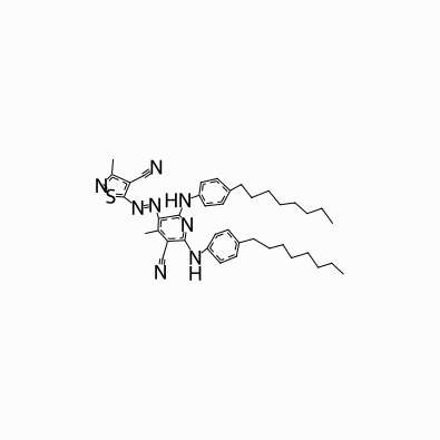 CCCCCCCCc1ccc(Nc2nc(Nc3ccc(CCCCCCCC)cc3)c(N=Nc3snc(C)c3C#N)c(C)c2C#N)cc1